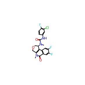 CN(C(=O)Nc1ccc(F)c(Cl)c1)C1COCc2c1c1cc(F)c(F)cc1c(=O)n2C